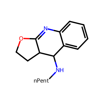 CCCCCNC1c2ccccc2N=C2OCCC21